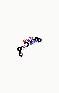 CCCC(NC(=O)c1ccc2ccccc2n1)C(=O)N(C)C1CCCN(C(=O)Cc2cccc(-c3ccccn3)c2)CC1=O